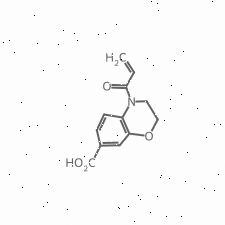 C=CC(=O)N1CCOc2cc(C(=O)O)ccc21